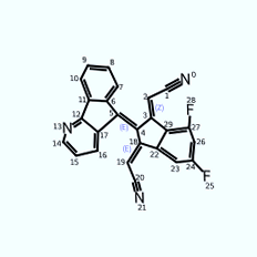 N#C/C=C1C(=C2\c3ccccc3-c3ncccc32)/C(=C/C#N)c2cc(F)cc(F)c2/1